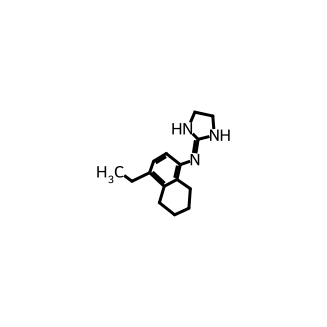 CCc1ccc(N=C2NCCN2)c2c1CCCC2